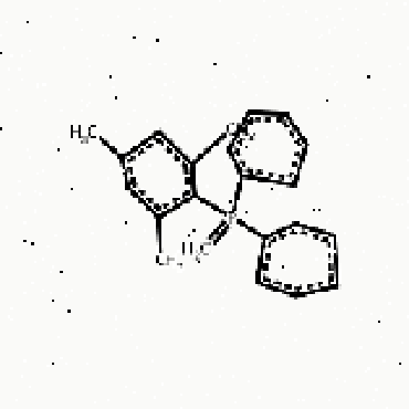 C=P(c1ccccc1)(c1ccccc1)c1c(C)cc(C)cc1C